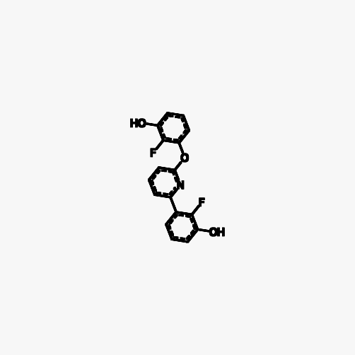 Oc1cccc(Oc2cccc(-c3cccc(O)c3F)n2)c1F